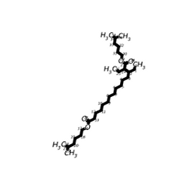 CCC(CCCCCCCCCCCC(=O)OCCCCC(C)C)C(CC)C(=O)OCCCCC(C)C